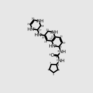 O=C(NC1CCCC1)NC1C=CC2=C(C=C(NC3CNC=CN3)CN2)N1